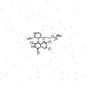 CCCc1nccc(OCCO[Si](C)(C)C(C)(C)C)c1-n1c(=O)[nH]c(=O)c2cc(Cl)c(Cl)nc21